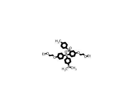 CCOCCOc1ccc(S(OS(=O)(=O)c2ccc(C)cc2)(c2ccc(OCCOCC)cc2)c2ccc(N(C)C)cc2)cc1